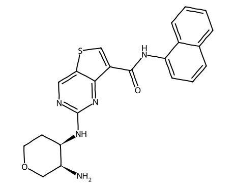 N[C@H]1COCC[C@H]1Nc1ncc2scc(C(=O)Nc3cccc4ccccc34)c2n1